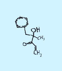 C=CC(=O)C(C)(O)Cc1cc[c]cc1